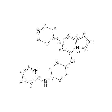 c1cnc(N[C@H]2CC[C@@H](Oc3nc(N4CCOCC4)cc4nccn34)CC2)nc1